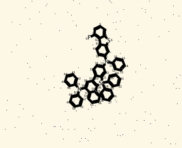 Fc1cccc2sc3cc(N(c4ccccc4)c4ccc5c(c4)[Si](c4ccccc4)(c4ccccc4)c4c-5cc(N(c5ccccc5)c5ccccc5)c5ccccc45)ccc3c12